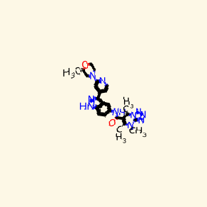 CC1=C(C(=O)Nc2ccc3[nH]nc(-c4ccnc(N5CCO[C@@H](C)C5)c4)c3c2)[C@@H](C)n2nnnc2N1C